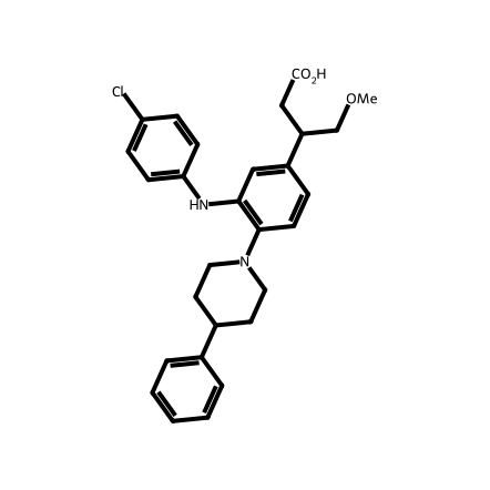 COCC(CC(=O)O)c1ccc(N2CCC(c3ccccc3)CC2)c(Nc2ccc(Cl)cc2)c1